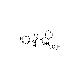 O=C(Nc1ccncc1)c1nn(C(=O)O)c2ccccc12